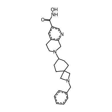 O=C(NO)c1cnc2c(c1)CCN(C1CCC3(CC1)CN(Cc1ccccc1)C3)C2